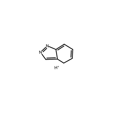 C1=CCC2=CN=NC2=C1.[H+]